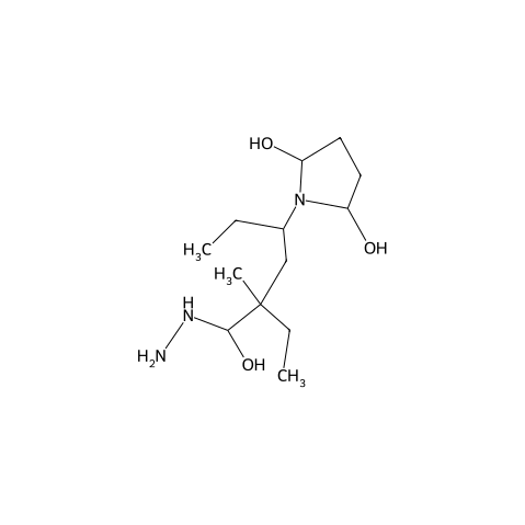 CCC(CC(C)(CC)C(O)NN)N1C(O)CCC1O